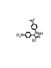 CCC1=NNN(c2ccc(N(C)C)cc2)C1c1ccc([N+](=O)[O-])cc1